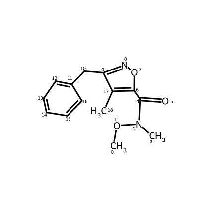 CON(C)C(=O)c1onc(Cc2ccccc2)c1C